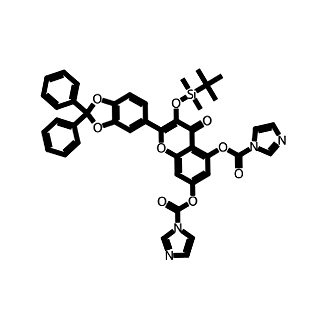 CC(C)(C)[Si](C)(C)Oc1c(-c2ccc3c(c2)OC(c2ccccc2)(c2ccccc2)O3)oc2cc(OC(=O)n3ccnc3)cc(OC(=O)n3ccnc3)c2c1=O